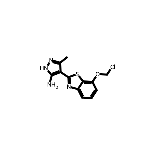 Cc1n[nH]c(N)c1-c1nc2cccc(OCCl)c2s1